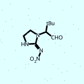 CC(C)(C)C(C=O)N1CCNC1=N[N+](=O)[O-]